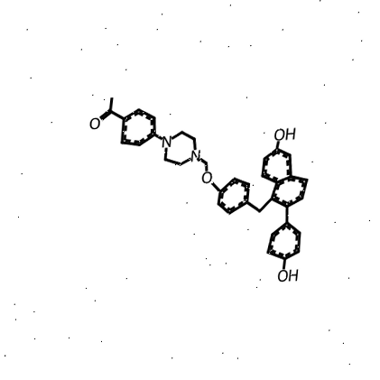 CC(=O)c1ccc(N2CCN(COc3ccc(Cc4c(-c5ccc(O)cc5)ccc5cc(O)ccc45)cc3)CC2)cc1